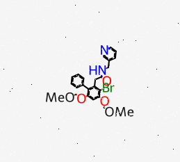 COCOc1cc(OCOC)c(-c2ccccc2)c(CC(=O)NCc2cccnc2)c1Br